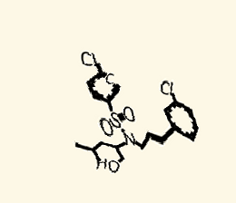 CC(C)CC(CO)N(C/C=C/c1cccc(Cl)c1)S(=O)(=O)c1ccc(Cl)cc1